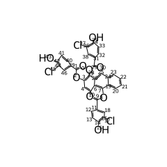 O=C(Oc1ccc2c(OC(=O)c3ccc(O)c(Cl)c3)c3ccccc3cc2c1OC(=O)c1ccc(O)c(Cl)c1)c1ccc(O)c(Cl)c1